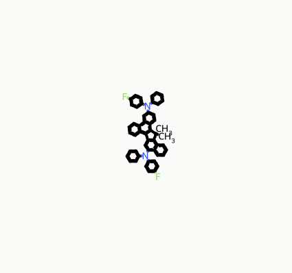 CC1(C)c2c(cc(N(c3ccccc3)c3ccc(F)cc3)c3ccccc23)-c2c1c1ccc(N(c3ccccc3)c3ccc(F)cc3)cc1c1ccccc21